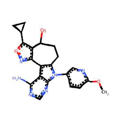 COc1ccc(-n2c3c(c4c(N)ncnc42)-c2noc(C4CC4)c2C(O)CC3)cn1